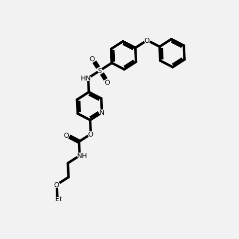 CCOCCNC(=O)Oc1ccc(NS(=O)(=O)c2ccc(Oc3ccccc3)cc2)cn1